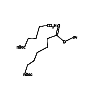 CCCCCCCCCCCCCC(=O)O.CCCCCCCCCCCCCCCC(=O)OC(C)C